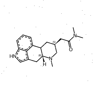 CN(C)C(=O)C[C@@H]1CC2c3cccc4[nH]cc(c34)C[C@H]2N(C)C1